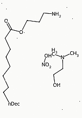 CCCCCCCCCCCCCCCCCC(=O)OCCCN.CN(C)CCO.O=[N+]([O-])O